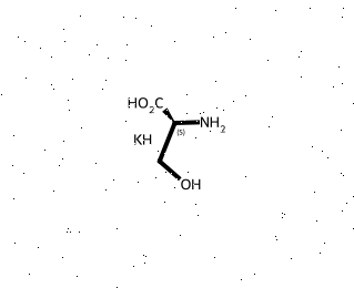 N[C@@H](CO)C(=O)O.[KH]